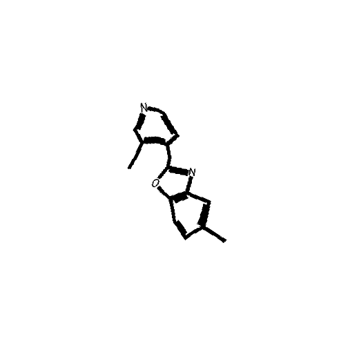 Cc1ccc2oc(-c3ccncc3C)nc2c1